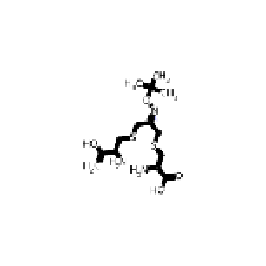 C=C(O)C(N)CSC/C(CSCC(N)C(=O)O)=N\OC(C)(C)C